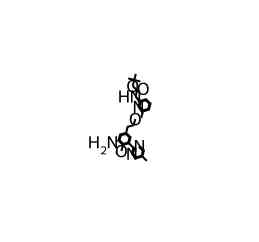 COc1c(N)cc(CCOCc2cccc(NC(=O)OC(C)(C)C)n2)cc1-c1ncc(C)cn1